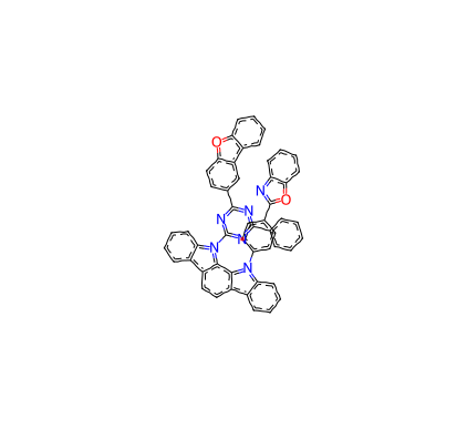 c1ccc(-c2nc(-c3ccc4oc5ccccc5c4c3)nc(-n3c4ccccc4c4ccc5c6ccccc6n(-c6ccc(-c7nc8ccccc8o7)cc6)c5c43)n2)cc1